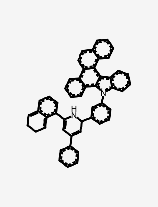 C1=C(c2ccccc2)C=C(c2cccc3c2=CCCC=3)NC1c1cccc(-n2c3ccccc3c3c4c5ccccc5ccc4c4ccccc4c32)c1